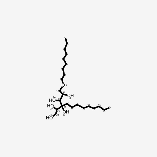 CCCCCCCCCOCC(O)C(O)C(O)(CCCCCCCCC)C(O)CO